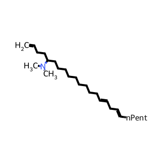 C=CCCC(CCCCCCCCCC=CCC=CCCCCC)N(C)C